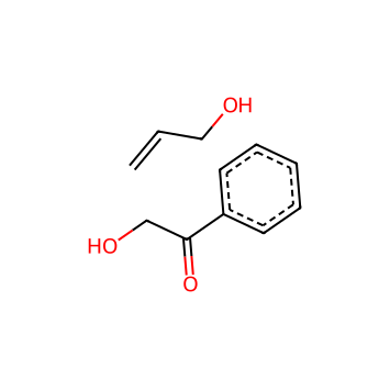 C=CCO.O=C(CO)c1ccccc1